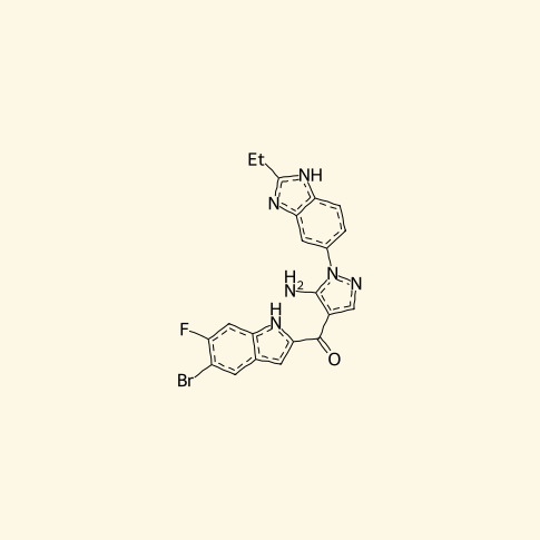 CCc1nc2cc(-n3ncc(C(=O)c4cc5cc(Br)c(F)cc5[nH]4)c3N)ccc2[nH]1